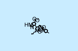 C=CCCn1cc(-c2cc(C(=O)OC)cc3[nH]cnc23)c2ccn(S(=O)(=O)c3ccc(C)cc3)c2c1=O